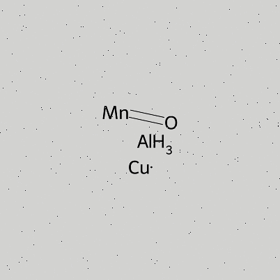 [AlH3].[Cu].[O]=[Mn]